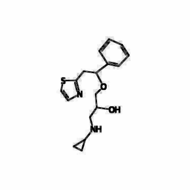 OC(CNC1CC1)COC(Cc1nccs1)c1ccccc1